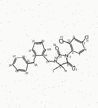 CC1(C)C(=O)N(c2ccc(Cl)cc2Cl)C(=O)N1Cc1ccccc1Cc1ccccc1